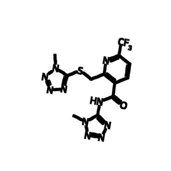 Cn1nnnc1NC(=O)c1ccc(C(F)(F)F)nc1CSc1nnnn1C